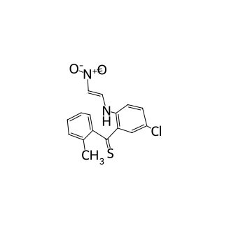 Cc1ccccc1C(=S)c1cc(Cl)ccc1NC=C[N+](=O)[O-]